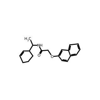 CC(NC(=O)COc1ccc2ccccc2c1)C1C=CCCC1